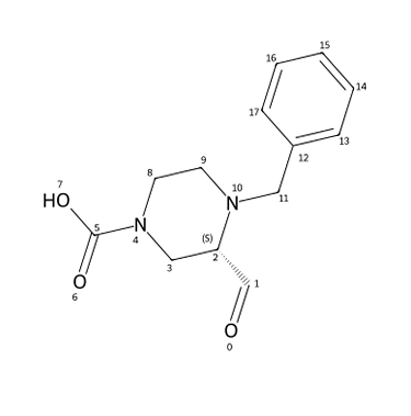 O=C[C@@H]1CN(C(=O)O)CCN1Cc1ccccc1